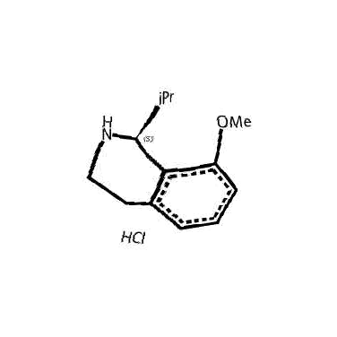 COc1cccc2c1[C@H](C(C)C)NCC2.Cl